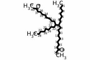 CCCCCCCCC(CCCCCCCCC(=O)CC)C(CCCCCCCC)CCCCCCCCC(=O)CC